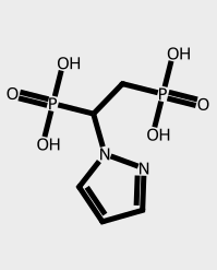 O=P(O)(O)CC(n1cccn1)P(=O)(O)O